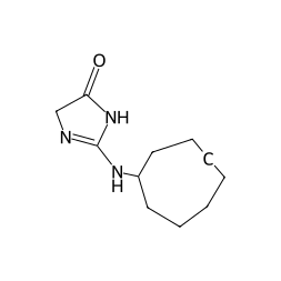 O=C1CN=C(NC2CCCCCCC2)N1